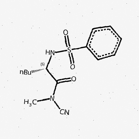 CCCC[C@H](NS(=O)(=O)c1ccccc1)C(=O)N(C)C#N